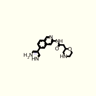 N=C/C(=C\N)c1ccc2cnc(NC(=O)CC3CNCCO3)cc2c1